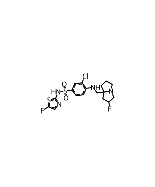 O=S(=O)(Nc1ncc(F)s1)c1ccc(NCC23CCCN2CC(F)C3)c(Cl)c1